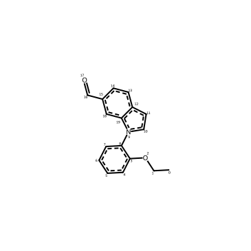 CCOc1ccccc1-n1ccc2ccc(C=O)cc21